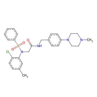 Cc1ccc(Cl)c(N(CC(=O)NCc2ccc(N3CCN(C)CC3)cc2)S(=O)(=O)c2ccccc2)c1